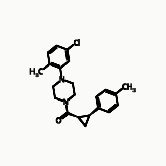 Cc1ccc([C@H]2C[C@H]2C(=O)N2CCN(c3cc(Cl)ccc3C)CC2)cc1